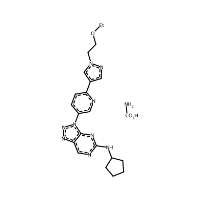 CCOCCn1cc(-c2ccc(-n3nnc4cnc(NC5CCCC5)nc43)cn2)cn1.NC(=O)O